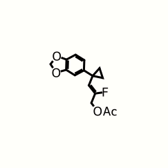 CC(=O)OC/C(F)=C/C1(c2ccc3c(c2)OCO3)CC1